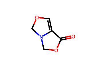 O=C1OCN2COC=C12